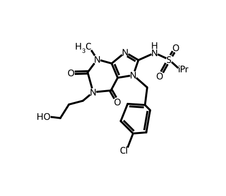 CC(C)S(=O)(=O)Nc1nc2c(c(=O)n(CCCO)c(=O)n2C)n1Cc1ccc(Cl)cc1